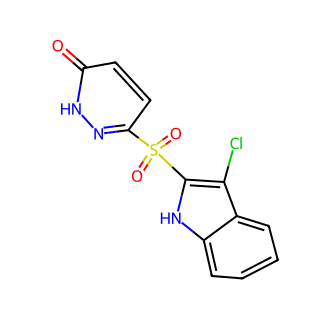 O=c1ccc(S(=O)(=O)c2[nH]c3ccccc3c2Cl)n[nH]1